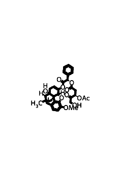 COc1ccc2c3c1O[C@H]1C(OC(=O)[C@@H](OC(=O)C[C@H](OC(C)=O)C(=O)CO)c4ccccc4)=CC[C@@]4(O)[C@@H](C2)N(C)CC[C@]314